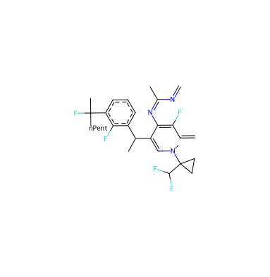 C=C/C(F)=C(/N=C(/C)N=C)C(=C/N(C)C1(C(F)F)CC1)\C(C)c1cccc(C(C)(F)CCCCC)c1F